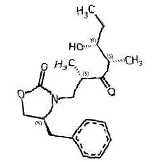 CC[C@@H](O)[C@H](C)C(=O)[C@@H](C)CN1C(=O)OC[C@@H]1Cc1ccccc1